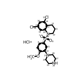 COc1ccc(S(=O)(=O)N2CCCc3c(Cl)cc(Cl)cc32)cc1N1CCNCC1.Cl